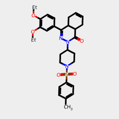 CCOc1ccc(C2=NN(C3CCN(S(=O)(=O)c4ccc(C)cc4)CC3)C(=O)C3CC=CCC23)cc1OCC